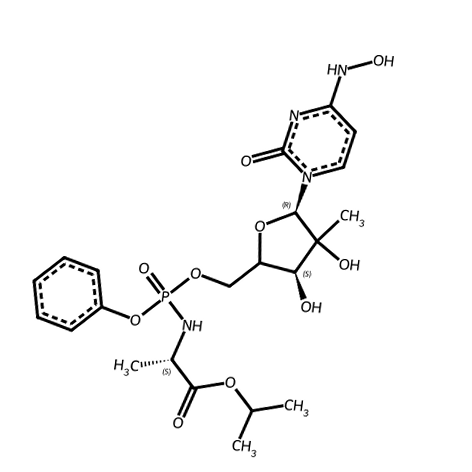 CC(C)OC(=O)[C@H](C)NP(=O)(OCC1O[C@@H](n2ccc(NO)nc2=O)C(C)(O)[C@H]1O)Oc1ccccc1